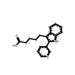 O=C(O)CCCCc1c(-c2cccnc2)[nH]c2ccccc12